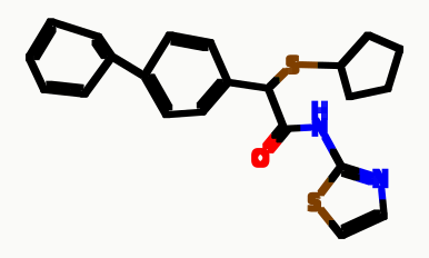 O=C(Nc1nccs1)C(SC1CCCC1)c1ccc(-c2ccccc2)cc1